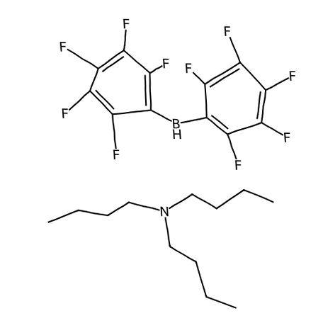 CCCCN(CCCC)CCCC.Fc1c(F)c(F)c(Bc2c(F)c(F)c(F)c(F)c2F)c(F)c1F